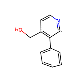 OCc1ccn[c]c1-c1ccccc1